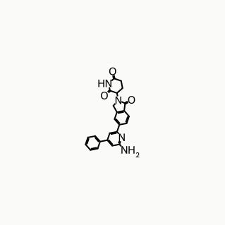 Nc1cc(-c2ccccc2)cc(-c2ccc3c(c2)CN(C2CCC(=O)NC2=O)C3=O)n1